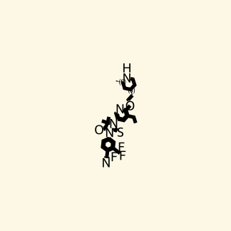 CCc1cc(N2C(=S)N(c3ccc(C#N)c(C(F)(F)F)c3)C(=O)C2(C)C)cnc1OCC[C@H]1CCN[C@@H](C)C1